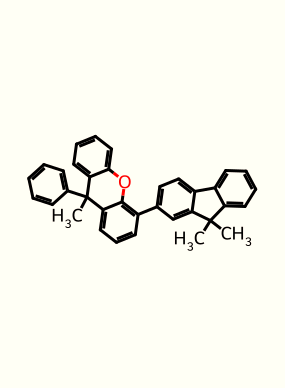 CC1(C)c2ccccc2-c2ccc(-c3cccc4c3Oc3ccccc3C4(C)c3ccccc3)cc21